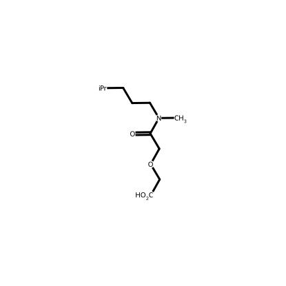 CC(C)CCCN(C)C(=O)COCC(=O)O